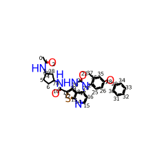 CC(=O)N[C@@H]1CCC(NC(=O)c2sc3nccc4c3c2NC(=O)N4c2ccc(Oc3ccccc3)cc2C)C1